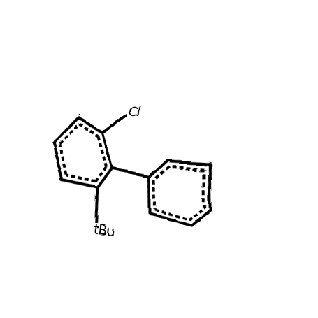 CC(C)(C)c1cc[c]c(Cl)c1-c1ccccc1